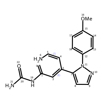 C=C(/C=C(\C=C/N)c1ccnn1-c1ccc(OC)cc1)NC(N)=O